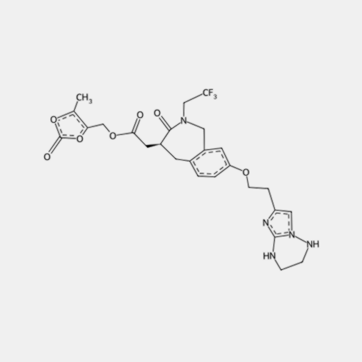 Cc1oc(=O)oc1COC(=O)C[C@@H]1Cc2ccc(OCCc3cn4c(n3)NCCN4)cc2CN(CC(F)(F)F)C1=O